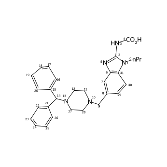 CCCn1c(NC(=O)O)nc2cc(CN3CCN(C(c4ccccc4)c4ccccc4)CC3)ccc21